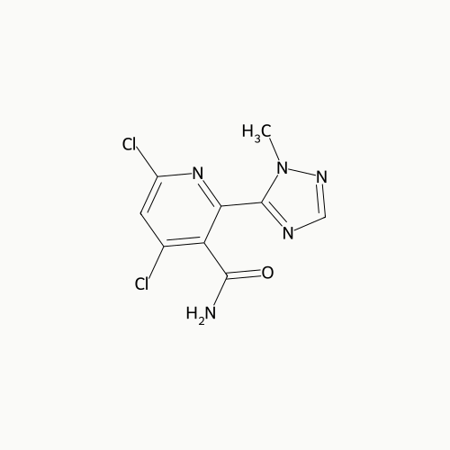 Cn1ncnc1-c1nc(Cl)cc(Cl)c1C(N)=O